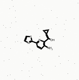 Nc1ccc(-c2nccs2)nc1C(O)=C1CC1